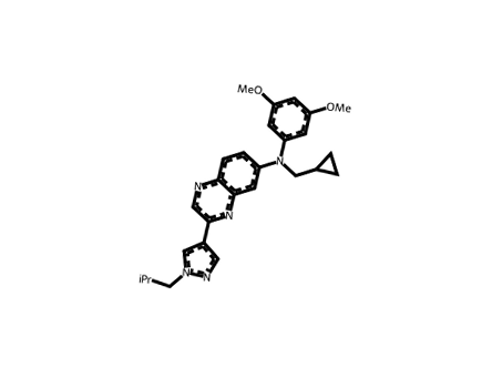 COc1cc(OC)cc(N(CC2CC2)c2ccc3ncc(-c4cnn(CC(C)C)c4)nc3c2)c1